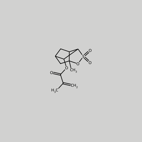 C=C(C)C(=O)OC1C2CC3C1S(=O)(=O)OC3(C)C2